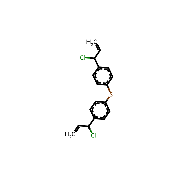 C=CC(Cl)c1ccc(Sc2ccc(C(Cl)C=C)cc2)cc1